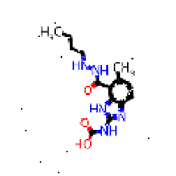 CCCCNNC(=O)c1c(C)ccc2nc(NC(=O)O)[nH]c12